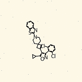 Clc1cccc(Cl)c1-c1noc(C2CC2)c1C1=CC2(CCN(c3nc4ccccc4s3)CC2)C1